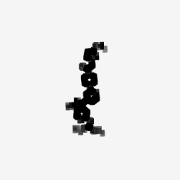 Cc1ccn(CC(=O)N2CCN(c3cc(-c4n[nH]c5cnc(OC(C)C)cc45)ccn3)CC2)n1